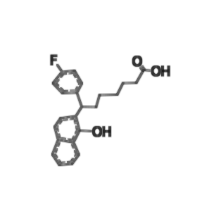 O=C(O)CCCCCC(c1ccc(F)cc1)c1ccc2ccccc2c1O